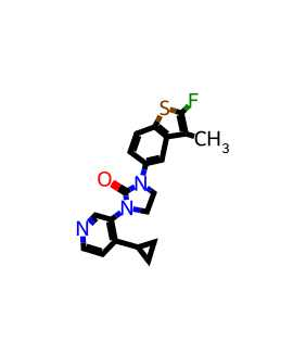 Cc1c(F)sc2ccc(N3CCN(c4cnccc4C4CC4)C3=O)cc12